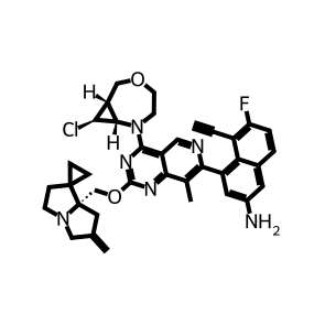 C#Cc1c(F)ccc2cc(N)cc(-c3ncc4c(N5CCOC[C@H]6[C@H](Cl)[C@H]65)nc(OC[C@]56CC(=C)CN5CCC65CC5)nc4c3C)c12